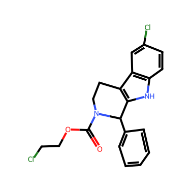 O=C(OCCCl)N1CCc2c([nH]c3ccc(Cl)cc23)C1c1ccccc1